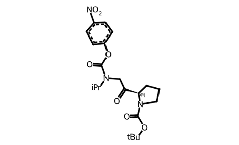 CC(C)N(CC(=O)[C@H]1CCCN1C(=O)OC(C)(C)C)C(=O)Oc1ccc([N+](=O)[O-])cc1